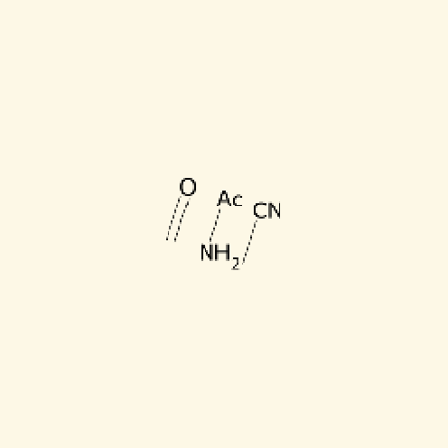 C=O.CC#N.CC(N)=O